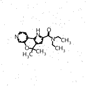 CCN(CC)C(=O)c1cc2c([nH]1)-c1ccncc1OC2(C)C